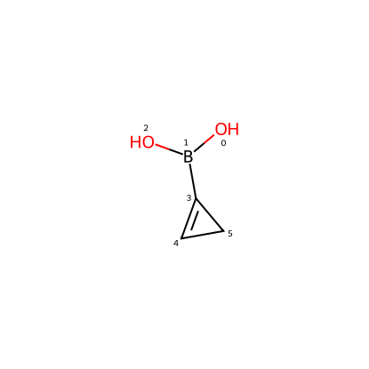 OB(O)C1=CC1